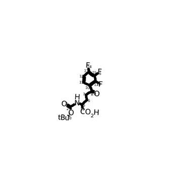 CC(C)(C)OC(=O)NC(CCC(=O)c1ccc(F)c(F)c1F)C(=O)O